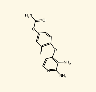 NC(=O)Oc1ccc(Oc2ccnc(N)c2N)c(F)c1